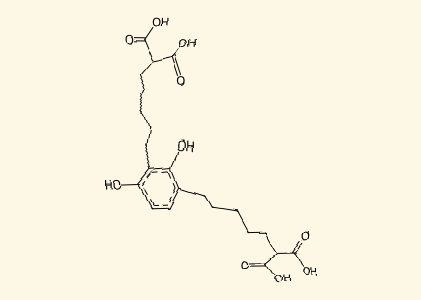 O=C(O)C(CCCCCc1ccc(O)c(CCCCCC(C(=O)O)C(=O)O)c1O)C(=O)O